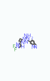 Cn1ncc2ccc(-c3nc(N)nc(NC4(c5ccn(C(F)F)n5)CCC4)n3)cc21